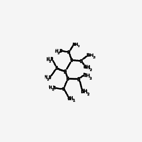 BB(B)B(B(B)B)B(B(B)B)B(B(B)B)B(B)B